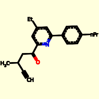 C#CC(C)CC(=O)c1cc(CC)cc(-c2ccc(CCC)cc2)n1